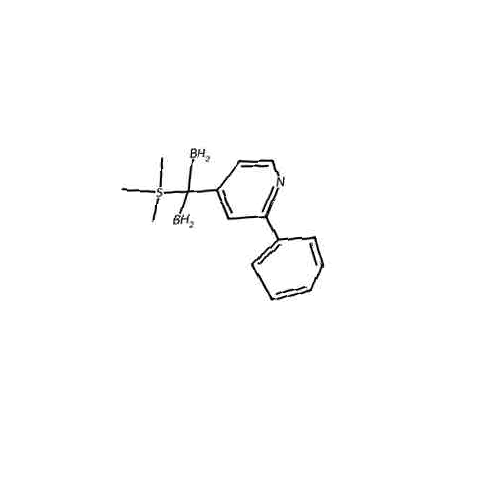 BC(B)(c1ccnc(-c2ccccc2)c1)S(C)(C)C